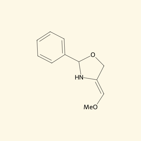 COC=C1COC(c2ccccc2)N1